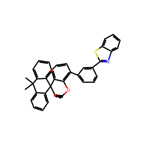 CC1(C)c2ccccc2C2(c3ccccc3Oc3c(-c4cccc(-c5nc6ccccc6s5)c4)cccc32)c2ccccc21